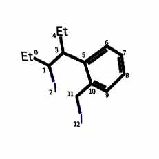 CCC(I)C(CC)c1ccccc1CI